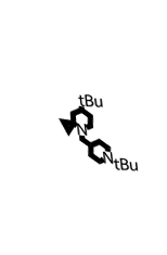 CC(C)(C)C1CCN(CC2CCN(C(C)(C)C)CC2)C2(CC2)C1